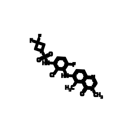 Cc1c(Nc2c(F)ccc(NS(=O)(=O)N3CC(F)(F)C3)c2Cl)ccc2ncn(C)c(=O)c12